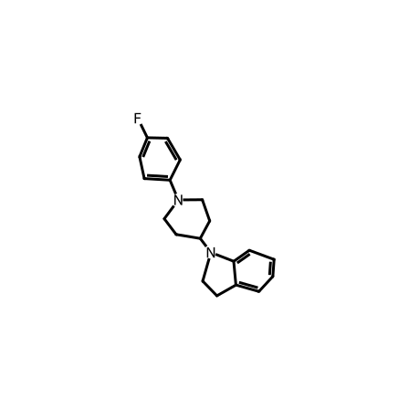 Fc1ccc(N2CCC(N3CCc4ccccc43)CC2)cc1